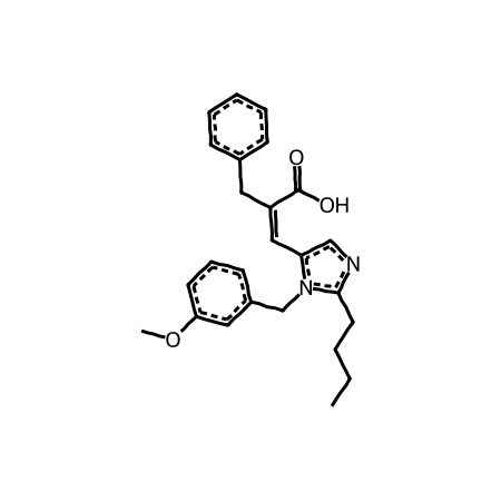 CCCCc1ncc(C=C(Cc2ccccc2)C(=O)O)n1Cc1cccc(OC)c1